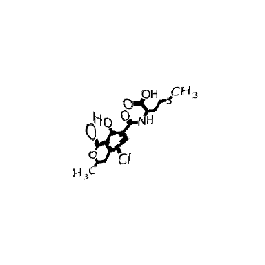 CSCCC(NC(=O)c1cc(Cl)c2c(c1O)C(=O)OC(C)C2)C(=O)O